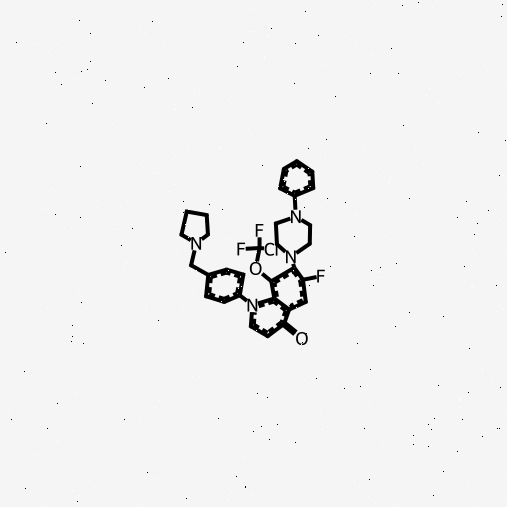 O=c1ccn(-c2ccc(CN3CCCC3)cc2)c2c(OC(F)(F)Cl)c(N3CCN(c4ccccc4)CC3)c(F)cc12